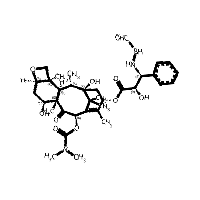 CC1=C2[C@@H](OC(=O)N(C)C)C(=O)[C@@]3(C)[C@H]([C@H](C)[C@](O)(C[C@@H]1OC(=O)[C@H](O)[C@@H](NBC=O)c1ccccc1)C2(C)C)[C@]1(C)CO[C@@H]1C[C@@H]3O